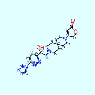 O=C1C=C(N2CCC3(CCN(CC(O)c4ccc(-n5cnnn5)nn4)CC3)CC2)CO1